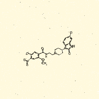 COc1cc([N+](=O)[O-])c(Cl)cc1C(=O)NCCN1CCC(n2c(=O)[nH]c3cc(Cl)ccc32)CC1